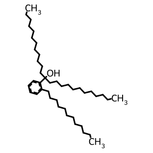 CCCCCCCCCCCCc1ccccc1C(O)(CCCCCCCCCCCC)CCCCCCCCCCCC